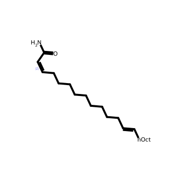 CCCCCCCCC=CCCCCCCCCC/C=C\C(N)=O